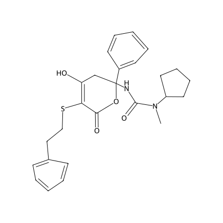 CN(C(=O)NC1(c2ccccc2)CC(O)=C(SCCc2ccccc2)C(=O)O1)C1CCCC1